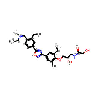 CCc1cc(-c2nc(-c3cc(C)c(OC[C@@H](O)CNC(=O)CO)c(CC)c3)no2)ccc1CN(C)CC